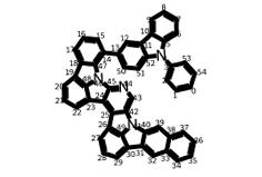 c1ccc(-n2c3ccccc3c3cc(-c4cccc5c6cccc7c8c9c%10cccc%11c%12cc%13ccccc%13cc%12n(c9cnc8n(c45)c67)c%11%10)ccc32)cc1